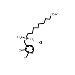 CCCCCCCCCCCCCCCCCC[N+](C)(C)Cc1cccc(Cl)c1Cl.[Cl-]